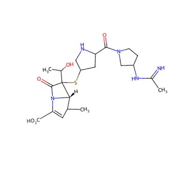 CC(=N)NC1CCN(C(=O)C2CC(SC3(C(C)O)C(=O)N4C(C(=O)O)=CC(C)[C@H]43)CN2)C1